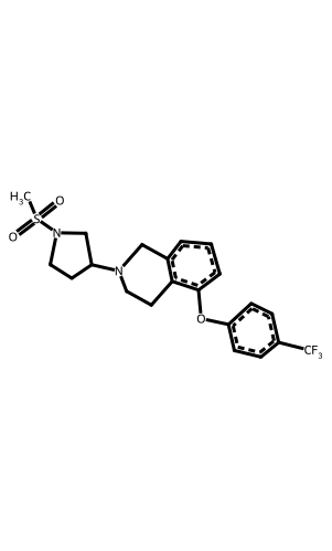 CS(=O)(=O)N1CCC(N2CCc3c(cccc3Oc3ccc(C(F)(F)F)cc3)C2)C1